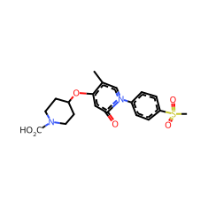 Cc1cn(-c2ccc(S(C)(=O)=O)cc2)c(=O)cc1OC1CCN(C(=O)O)CC1